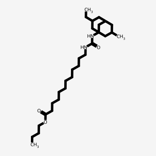 CCCCOC(=O)CCCCCCCCCCCNC(=O)NC12CC(C)CC(CC(CC)C1)C2